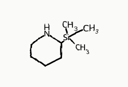 C[Si](C)(C)C1CCCCN1